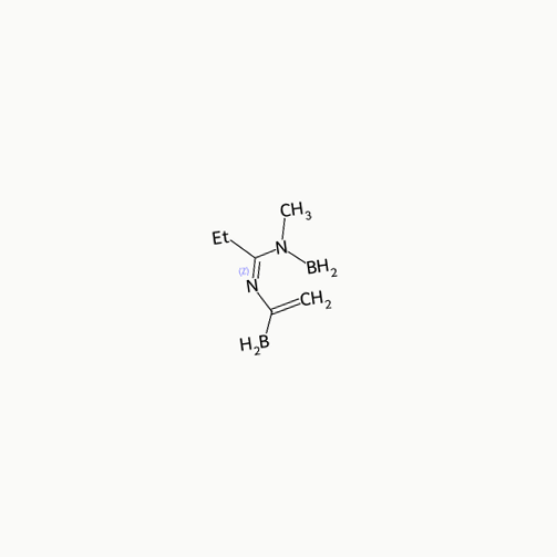 BC(=C)/N=C(/CC)N(B)C